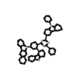 c1ccc(-c2nc(-c3ccc4c(c3)c3ccccc3n4-c3ccccc3)nc(-c3ccc(-n4c5ccccc5c5cc6ccccc6cc54)cc3-c3cccc4sc5ccccc5c34)n2)cc1